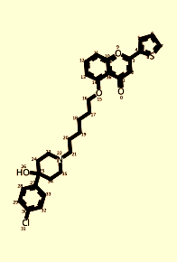 O=c1cc(-c2cccs2)oc2cccc(OCCCCCCN3CCC(O)(c4ccc(Cl)cc4)CC3)c12